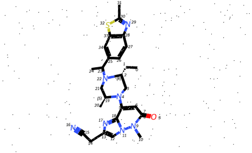 CC[C@@H]1CN(c2cc(=O)n(C)n3cc(CC#N)nc23)[C@@H](C)CN1C(C)c1ccc2nc(C)sc2c1